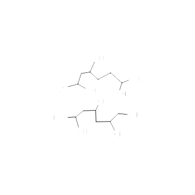 [CH2]C(C)CC(C)CC(C)CC.[CH2]C(C)CC(C)CCC(C)C